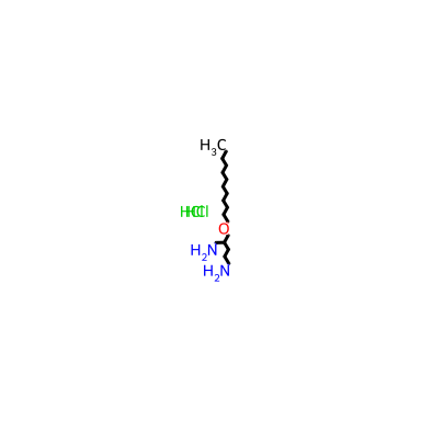 CCCCCCCCCCCCOCC(CN)CCCN.Cl.Cl